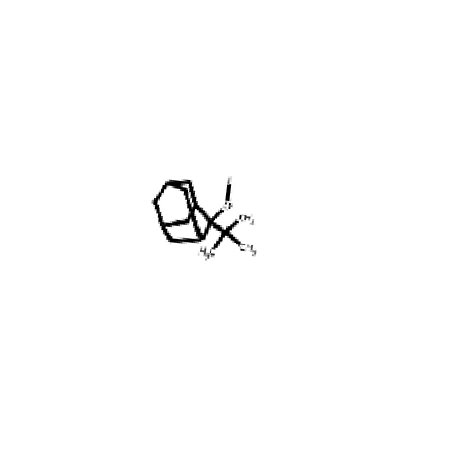 CC(C)(C)C1(OI)C2CC3CC(C2)CC1C3